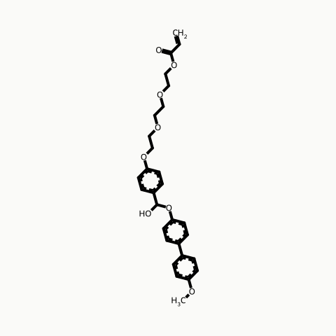 C=CC(=O)OCCOCCOCCOc1ccc(C(O)Oc2ccc(-c3ccc(OC)cc3)cc2)cc1